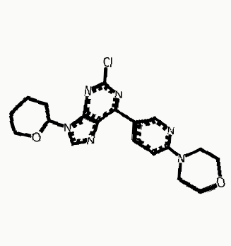 Clc1nc(-c2ccc(N3CCOCC3)nc2)c2ncn(C3CCCCO3)c2n1